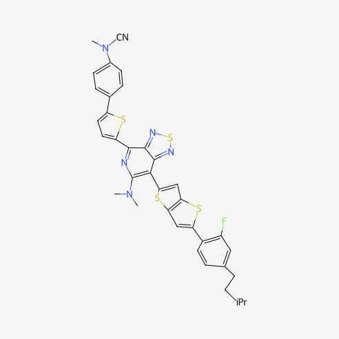 CC(C)CCc1ccc(-c2cc3sc(-c4c(N(C)C)nc(-c5ccc(-c6ccc(N(C)C#N)cc6)s5)c5nsnc45)cc3s2)c(F)c1